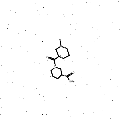 CNC(=O)C1CCCN(C(=O)C2CCCN(C(C)=O)C2)C1